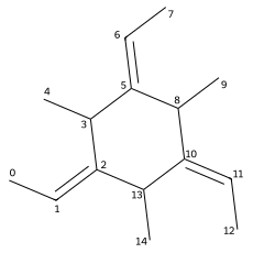 CC=C1C(C)C(=CC)C(C)C(=CC)C1C